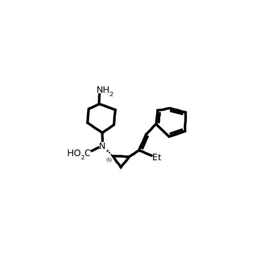 CCC(=Cc1ccccc1)C1C[C@@H]1N(C(=O)O)C1CCC(N)CC1